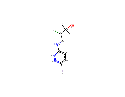 CC(C)(O)C(F)CNc1ccc(I)nn1